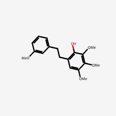 COc1cccc(CCc2cc(OC)c(OC)c(OC)c2O)c1